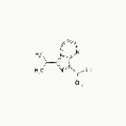 CC(C)c1nc(C(C)S)c2ncccn12